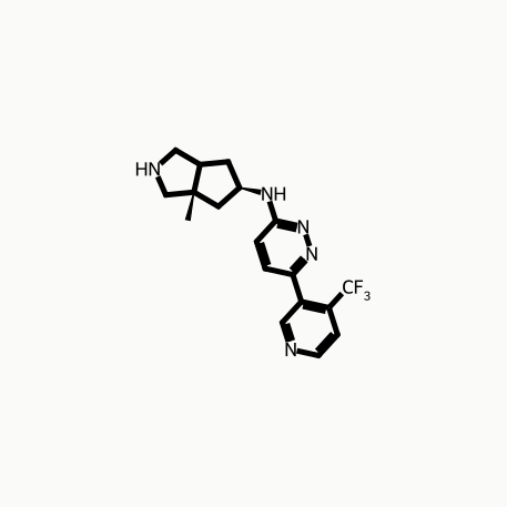 C[C@@]12CNCC1C[C@@H](Nc1ccc(-c3cnccc3C(F)(F)F)nn1)C2